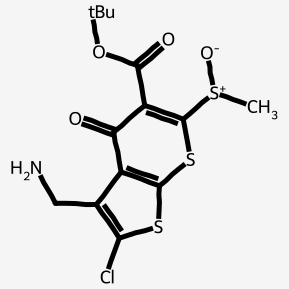 C[S+]([O-])c1sc2sc(Cl)c(CN)c2c(=O)c1C(=O)OC(C)(C)C